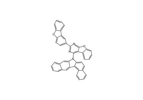 c1ccc2cc3c(cc2c1)c1c2ccccc2ccc1n3-c1nc(-c2ccc3oc4ccccc4c3c2)nc2oc3ccccc3c12